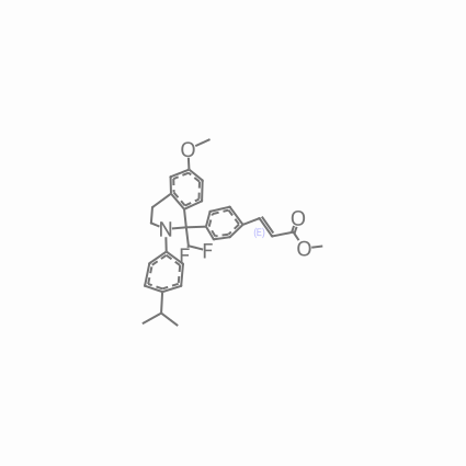 COC(=O)/C=C/c1ccc(C2(C(F)F)c3ccc(OC)cc3CCN2c2ccc(C(C)C)cc2)cc1